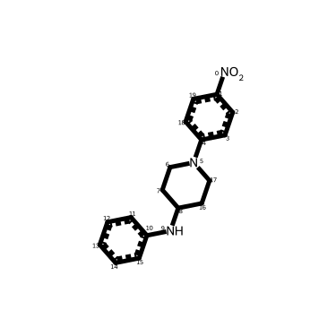 O=[N+]([O-])c1ccc(N2CCC(Nc3ccccc3)CC2)cc1